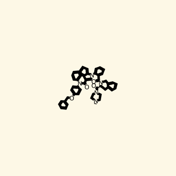 CN1CCN(C(=O)[C@@H]2Cc3ccccc3CN2C(=O)c2ccccc2-n2cc(C(=O)N(c3ccccc3)c3ccc(OCc4ccccc4)cc3)c3ccccc32)CC1